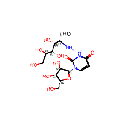 N[C@@H](C=O)[C@@H](O)[C@H](O)[C@H](O)CO.O=c1ccn([C@@H]2O[C@H](CO)[C@@H](O)[C@H]2O)c(=O)[nH]1